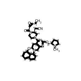 C=C[C@H]1O[C@@H]1C(=O)N1CCN(c2nc(OC[C@@H]3CCCN3C)nc3c2CCN(c2cccc4cccc(Cl)c24)C3)C[C@@H]1CC#N